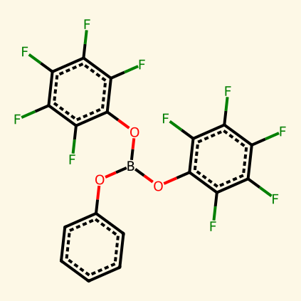 Fc1c(F)c(F)c(OB(Oc2ccccc2)Oc2c(F)c(F)c(F)c(F)c2F)c(F)c1F